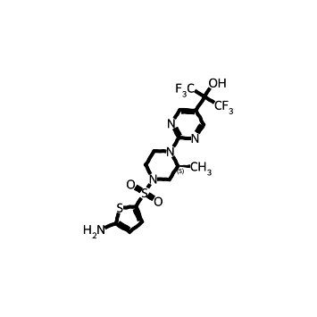 C[C@H]1CN(S(=O)(=O)c2ccc(N)s2)CCN1c1ncc(C(O)(C(F)(F)F)C(F)(F)F)cn1